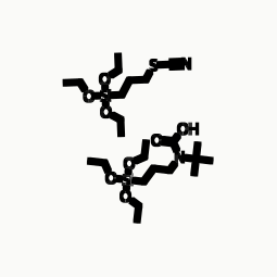 CCO[Si](CCCN(C(=O)O)C(C)(C)C)(OCC)OCC.CCO[Si](CCCSC#N)(OCC)OCC